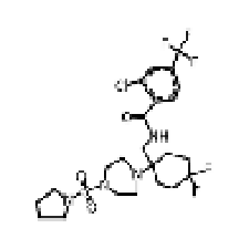 O=C(NCC1(N2CCN(S(=O)(=O)N3CCCC3)CC2)CCC(F)(F)CC1)c1ccc(C(F)(F)F)cc1Cl